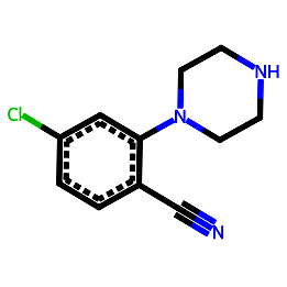 N#Cc1ccc(Cl)cc1N1CCNCC1